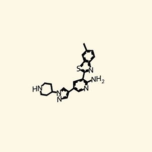 Cc1ccc2nc(-c3cc(-c4cnn(C5CCNCC5)c4)cnc3N)sc2c1